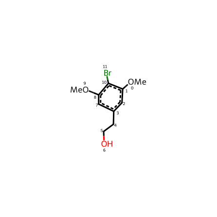 COc1cc(CCO)cc(OC)c1Br